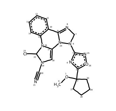 COC1(c2nc(N3CN=C4c5ccccc5N5C(=CN(C#N)C5Cl)N43)no2)CCCC1